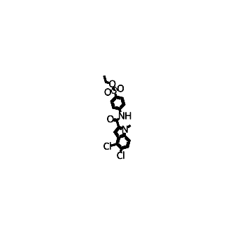 CCOS(=O)(=O)c1ccc(NC(=O)c2cc3c(Cl)c(Cl)ccc3n2C)cc1